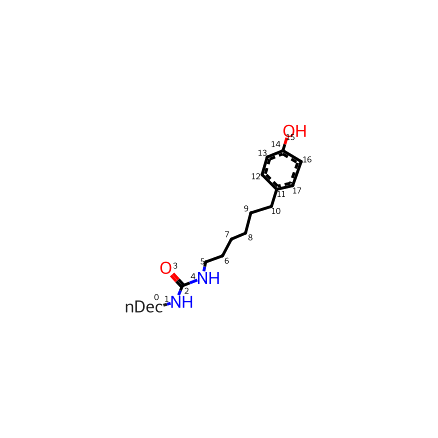 CCCCCCCCCCNC(=O)NCCCCCCc1ccc(O)cc1